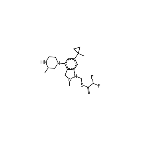 C=C(SCN1c2cc(C3(C)CC3)cc(N3CCNC(C)C3)c2CN1C)C(F)F